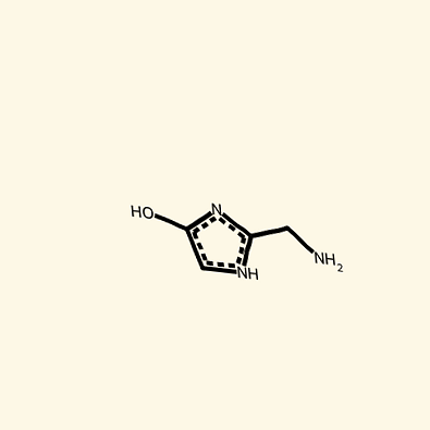 NCc1nc(O)c[nH]1